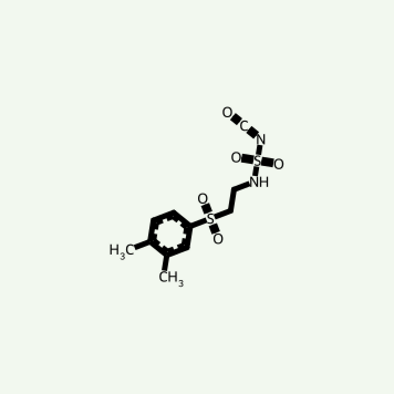 Cc1ccc(S(=O)(=O)CCNS(=O)(=O)N=C=O)cc1C